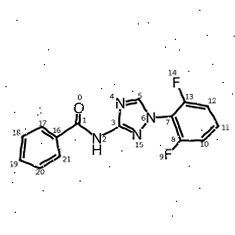 O=C(Nc1ncn(-c2c(F)cccc2F)n1)c1ccccc1